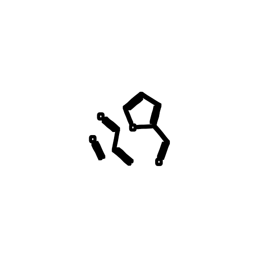 C=CC=O.C=O.O=Cc1ccco1